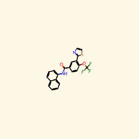 O=C(Nc1cccc2ccccc12)c1ccc(OC(F)(F)F)c(-c2nccs2)c1